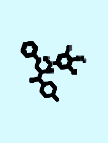 CC1CCN(C(=O)C(COc2ccccc2)N[S+]([O-])c2cc(Cl)c(N)c(Cl)c2)CC1